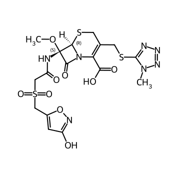 CO[C@@]1(NC(=O)CS(=O)(=O)Cc2cc(O)no2)C(=O)N2C(C(=O)O)=C(CSc3nnnn3C)CS[C@@H]21